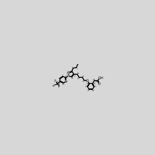 CCCc1nn(-c2ccc(C(F)(F)F)cn2)cc1CCCCOc1ccccc1CC(=O)O